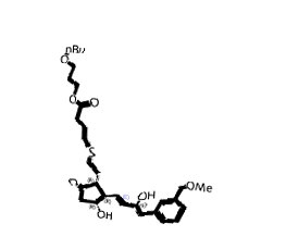 CCCCOCCCOC(=O)CCCSCC[C@H]1C(=O)C[C@@H](O)[C@@H]1/C=C/[C@@H](O)Cc1cccc(COC)c1